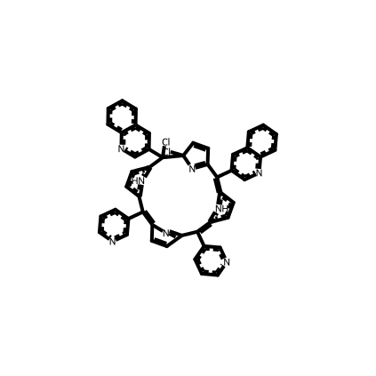 ClC12C=CC(=N1)C(c1cnc3ccccc3c1)=c1ccc([nH]1)=C(c1cccnc1)C1=NC(=C(c3cccnc3)c3ccc([nH]3)C2(Cl)c2cnc3ccccc3c2)C=C1